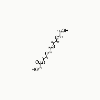 O=C(CO)OCCOCCOCCOCCO